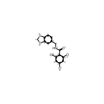 O=C(NCc1ccc2c(c1)OCO2)c1c(Cl)cc(Cl)cc1Cl